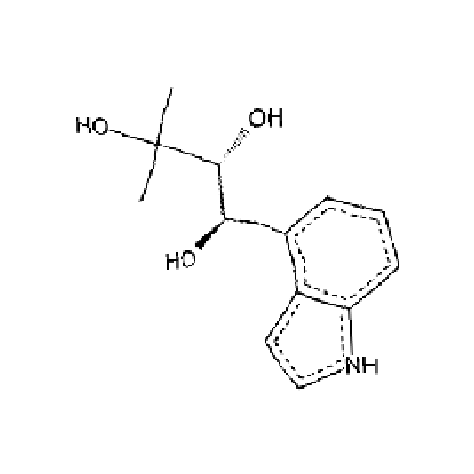 CC(C)(O)[C@H](O)[C@H](O)c1cccc2[nH]ccc12